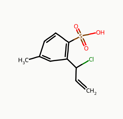 C=CC(Cl)c1cc(C)ccc1S(=O)(=O)O